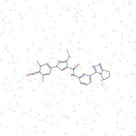 COc1nn(C2=CN(C)C(=C=O)C(C)=C2)cc1C(=O)Nc1cccc(-c2nnc3n2[C@@H](C)CC3)n1